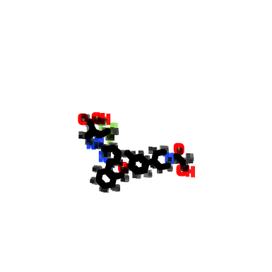 Cc1cc(C2CCN(C(=O)[C@H](C)O)CC2)ccc1OCC1=C(c2cccc(-n3ncc(C(=O)O)c3C(F)(F)F)n2)CCCC1